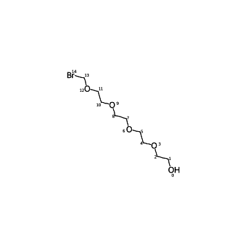 OCCOCCOCCOCCOCBr